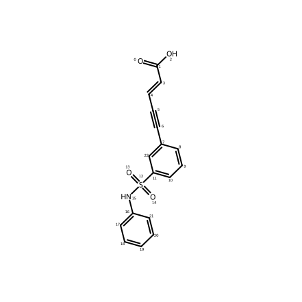 O=C(O)C=CC#Cc1cccc(S(=O)(=O)Nc2ccccc2)c1